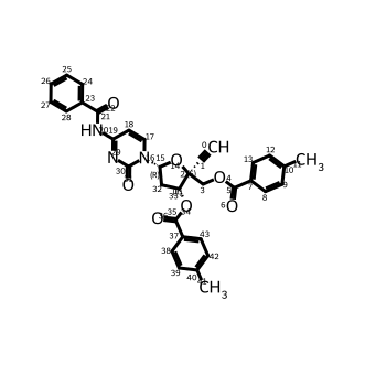 C#C[C@@]1(COC(=O)c2ccc(C)cc2)O[C@@H](n2ccc(NC(=O)c3ccccc3)nc2=O)C[C@H]1OC(=O)c1ccc(C)cc1